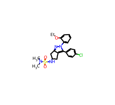 CCOc1ccccc1-n1nc2c(c1-c1ccc(Cl)cc1)CC(NS(=O)(=O)N(C)C)C2